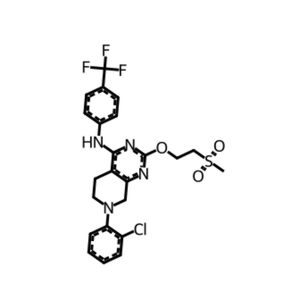 CS(=O)(=O)CCOc1nc2c(c(Nc3ccc(C(F)(F)F)cc3)n1)CCN(c1ccccc1Cl)C2